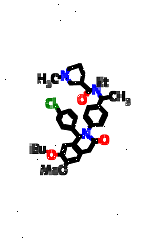 CC[C@@H](C)Oc1cc2c(cc1OC)CC(=O)N(c1ccc(C(C)N(CC)C(=O)C3CCCN(C)C3)cc1)C2c1ccc(Cl)cc1